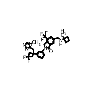 Cn1cnnc1CC1(c2cccc(N3Cc4c(cc(CNC5(C)CCC5)cc4C(F)(F)F)C3=O)c2)CC(F)(F)C1